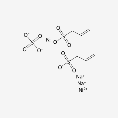 C=CCS(=O)(=O)[O-].C=CCS(=O)(=O)[O-].O=S(=O)([O-])[O-].[N].[Na+].[Na+].[Ni+2]